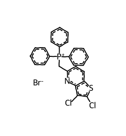 Clc1sc2ccc(C[P+](c3ccccc3)(c3ccccc3)c3ccccc3)nc2c1Cl.[Br-]